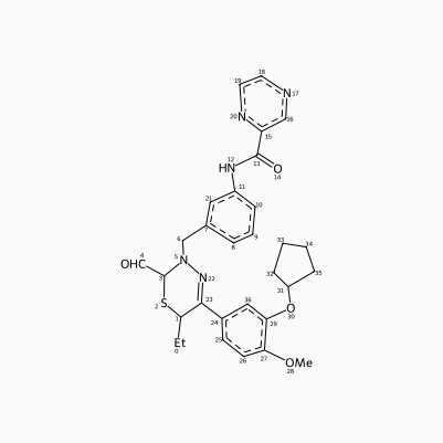 CCC1SC(C=O)N(Cc2cccc(NC(=O)c3cnccn3)c2)N=C1c1ccc(OC)c(OC2CCCC2)c1